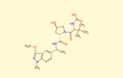 COc1nn(C)c2ccc(C(C)NC(=O)[C@@H]3C[C@@H](O)CN3C(=O)C(NC(=O)O)C(C)(C)C)cc12